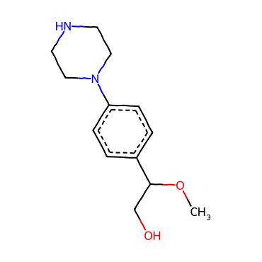 COC(CO)c1ccc(N2CCNCC2)cc1